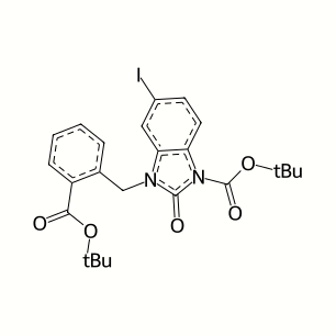 CC(C)(C)OC(=O)c1ccccc1Cn1c(=O)n(C(=O)OC(C)(C)C)c2ccc(I)cc21